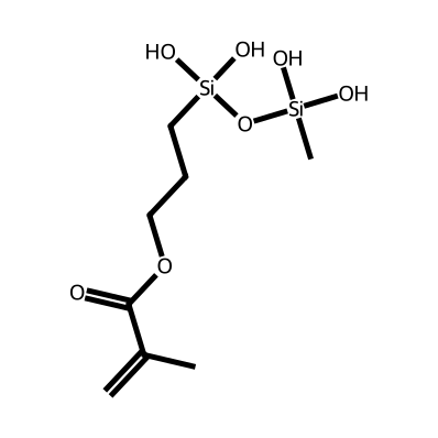 C=C(C)C(=O)OCCC[Si](O)(O)O[Si](C)(O)O